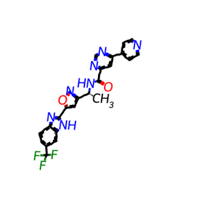 C[C@@H](NC(=O)c1cc(-c2ccncc2)ncn1)c1cc(-c2nc3ccc(C(F)(F)F)cc3[nH]2)on1